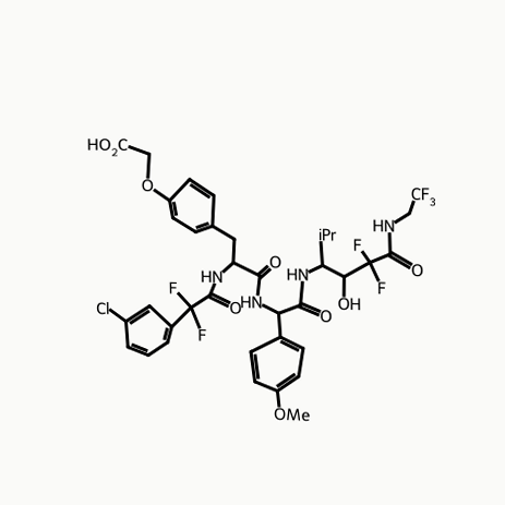 COc1ccc(C(NC(=O)C(Cc2ccc(OCC(=O)O)cc2)NC(=O)C(F)(F)c2cccc(Cl)c2)C(=O)NC(C(C)C)C(O)C(F)(F)C(=O)NCC(F)(F)F)cc1